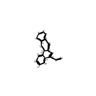 C=Cc1cc2cc3ccccc3cc2c2ccccc12